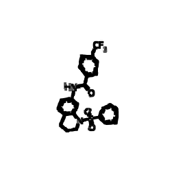 O=C(Nc1ccc2c(c1)N(S(=O)(=O)c1ccccc1)CCC2)c1ccc(C(F)(F)F)cc1